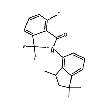 CC1CC(C)(C)c2cccc(NC(=O)c3c(F)cccc3C(F)(F)F)c21